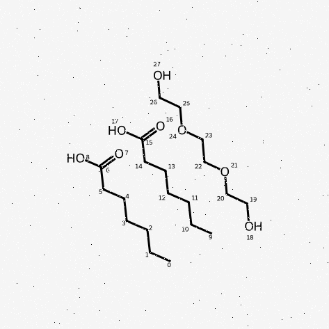 CCCCCCC(=O)O.CCCCCCC(=O)O.OCCOCCOCCO